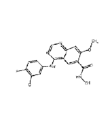 COc1cc2ncnc(Nc3ccc(F)c(Cl)c3)c2cc1C(=O)NO